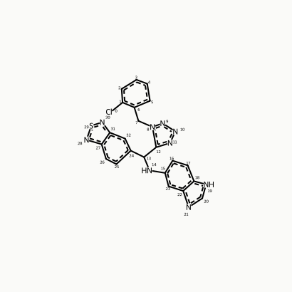 Clc1ccccc1Cn1nnnc1C(Nc1ccc2[nH]cnc2c1)c1ccc2nsnc2c1